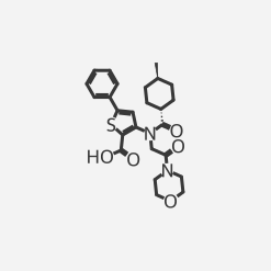 C[C@H]1CC[C@H](C(=O)N(CC(=O)N2CCOCC2)c2cc(-c3ccccc3)sc2C(=O)O)CC1